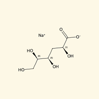 O=C([O-])[C@@H](O)C[C@@H](O)[C@H](O)CO.[Na+]